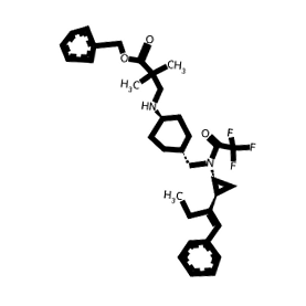 CC/C(=C\c1ccccc1)[C@@H]1C[C@H]1N(C[C@H]1CC[C@H](NCC(C)(C)C(=O)OCc2ccccc2)CC1)C(=O)C(F)(F)F